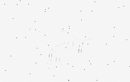 O.O=[Si](O)O.O=[Si](O)O.[Al]